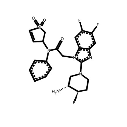 N[C@@H]1CN(c2nc3cc(F)c(F)cc3n2CC(=O)N(c2ccccc2)C2C=CS(=O)(=O)C2)CC[C@H]1F